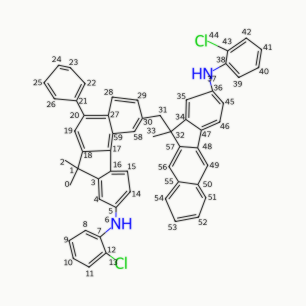 CC1(C)c2cc(Nc3ccccc3Cl)ccc2-c2c1cc(-c1ccccc1)c1ccc(CC3(C)c4cc(Nc5ccccc5Cl)ccc4-c4cc5ccccc5cc43)cc21